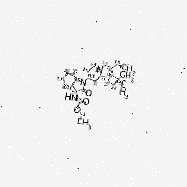 CCOC(=O)NC1C(=O)N(C2CCN(CC(CC)C3CCC3(C)C)CC2)c2ccccc21